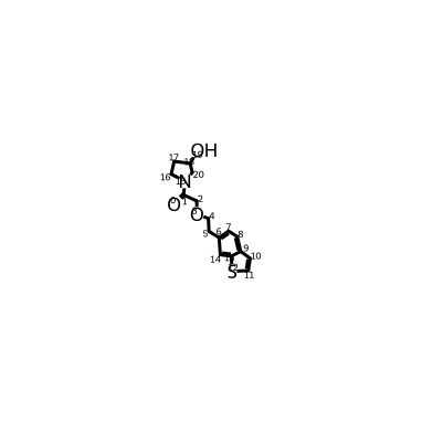 O=C(COCCc1ccc2ccsc2c1)N1CCC(O)C1